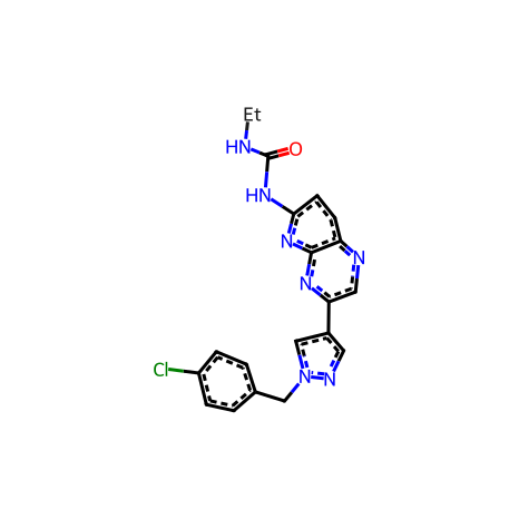 CCNC(=O)Nc1ccc2ncc(-c3cnn(Cc4ccc(Cl)cc4)c3)nc2n1